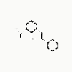 O=[N+]([O-])c1cccc(C=Cc2ccccc2)c1O